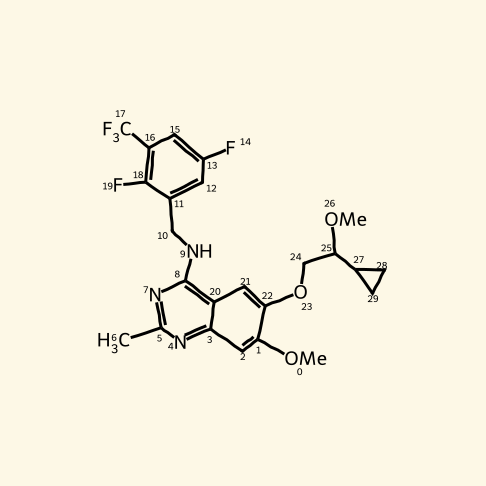 COc1cc2nc(C)nc(NCc3cc(F)cc(C(F)(F)F)c3F)c2cc1OCC(OC)C1CC1